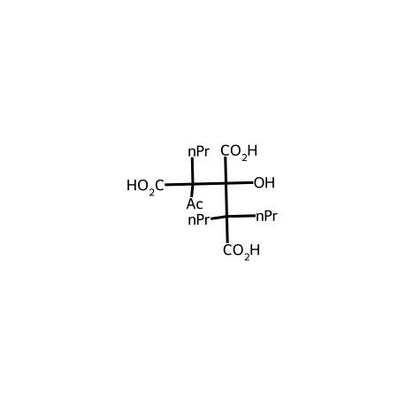 CCCC(CCC)(C(=O)O)C(O)(C(=O)O)C(CCC)(C(C)=O)C(=O)O